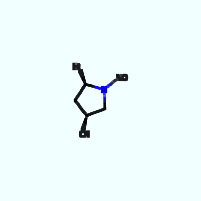 CC[C@@H]1C[C@H](C#N)CN1N=O